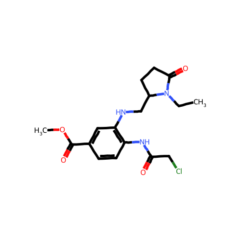 CCN1C(=O)CCC1CNc1cc(C(=O)OC)ccc1NC(=O)CCl